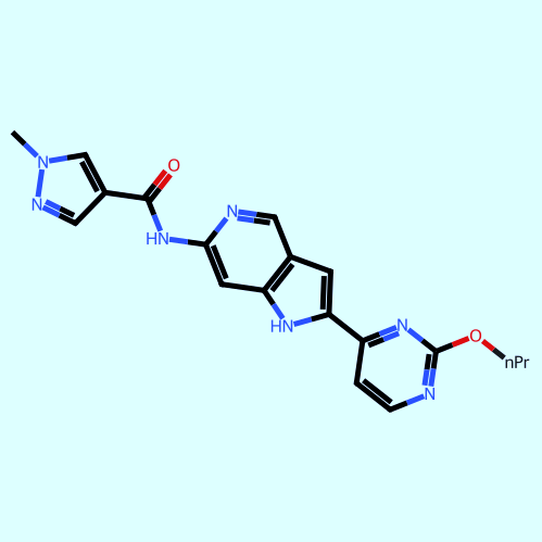 CCCOc1nccc(-c2cc3cnc(NC(=O)c4cnn(C)c4)cc3[nH]2)n1